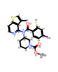 Cc1csc2ccnc(N(C(=O)c3ccc(I)cc3F)[C@@H]3CCCN(C(=O)OC(C)(C)C)C3)c12